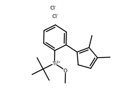 C[O][Ti+2]([c]1ccccc1C1=C(C)C(C)=CC1)[C](C)(C)C.[Cl-].[Cl-]